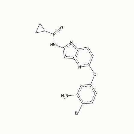 Nc1cc(Oc2ccc3nc(NC(=O)C4CC4)cn3n2)ccc1Br